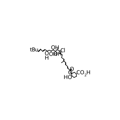 CC(/C=C/C=C/C(=O)OC1CC(C(=O)O)CCC1O)=C\CC/C=C(\Cl)C(C)C(O)C(O)C(O)CC(O)/C=C/C=C/C(C)(C)C